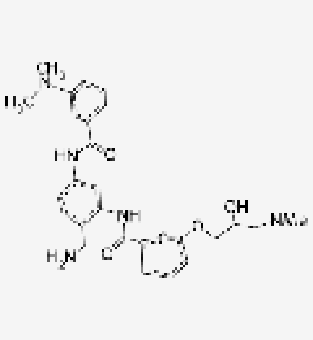 CNCC(O)COc1cccc(C(=O)Nc2cc(NC(=O)c3cccc(N(C)C)c3)ccc2CN)c1